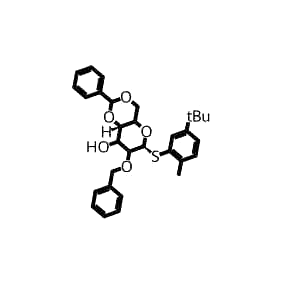 Cc1ccc(C(C)(C)C)cc1S[C@@H]1OC2COC(c3ccccc3)O[C@H]2C(O)C1OCc1ccccc1